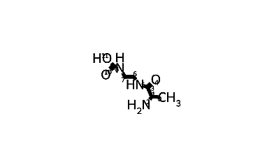 CC(N)C(=O)NCCNC(=O)O